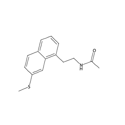 CSc1ccc2cccc(CCNC(C)=O)c2c1